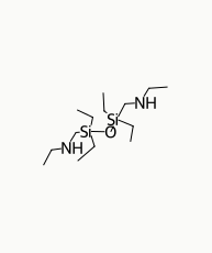 CCNC[Si](CC)(CC)O[Si](CC)(CC)CNCC